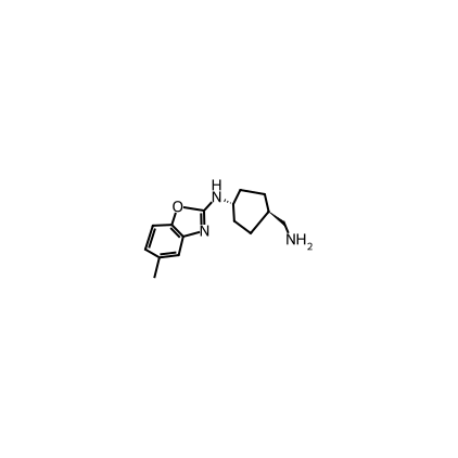 Cc1ccc2oc(N[C@H]3CC[C@H](CN)CC3)nc2c1